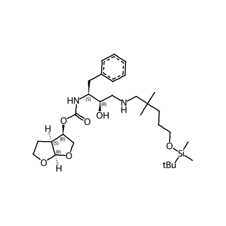 CC(C)(CCCO[Si](C)(C)C(C)(C)C)CNC[C@@H](O)[C@H](Cc1ccccc1)NC(=O)O[C@H]1CO[C@H]2OCC[C@H]21